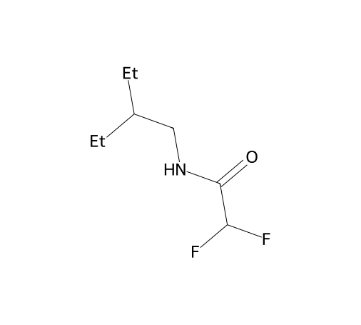 CCC(CC)CNC(=O)C(F)F